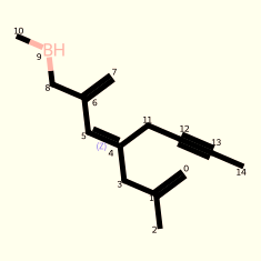 C=C(C)C/C(=C/C(=C)CBC)CC#CC